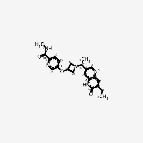 CCc1cc2ncc([C@H](C)N3CC(Oc4ccc(C(=O)NC)nc4)C3)cc2[nH]c1=O